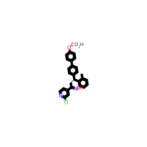 Cc1ccccc1[C@H](C/C(=N\O)c1ccnc(Cl)c1)c1ccc(-c2ccc(OC(=O)O)cc2)cc1